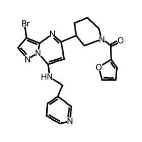 O=C(c1ccco1)N1CCCC(c2cc(NCc3cccnc3)n3ncc(Br)c3n2)C1